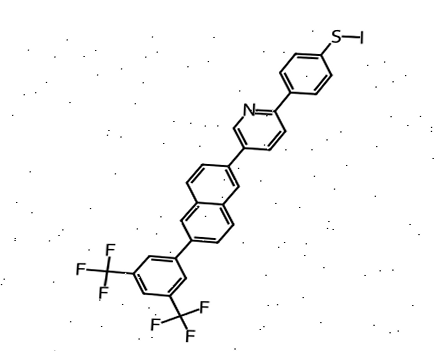 FC(F)(F)c1cc(-c2ccc3cc(-c4ccc(-c5ccc(SI)cc5)nc4)ccc3c2)cc(C(F)(F)F)c1